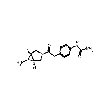 NC(=O)Nc1ccc(CC(=O)N2C[C@@H]3[C@@H](N)[C@@H]3C2)cc1